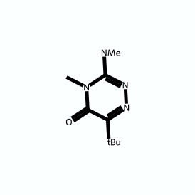 CNc1nnc(C(C)(C)C)c(=O)n1C